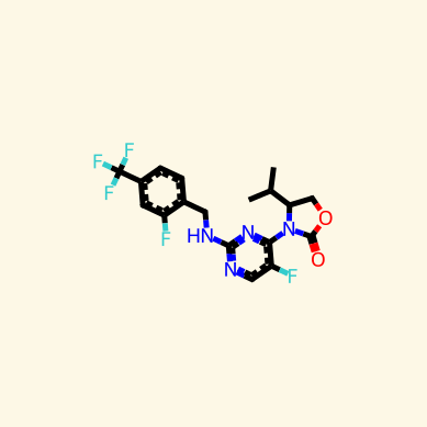 CC(C)C1COC(=O)N1c1nc(NCc2ccc(C(F)(F)F)cc2F)ncc1F